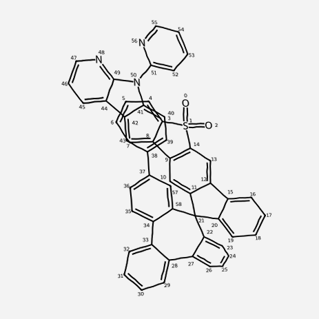 O=S1(=O)c2ccccc2-c2cc3c(cc21)-c1ccccc1C31c2ccccc2-c2ccccc2-c2ccc(-c3ccc4c(c3)c3cccnc3n4-c3ccccn3)cc21